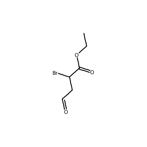 CCOC(=O)C(Br)CC=O